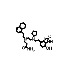 NC(=O)CCN(CCc1cccc2c1CCCC2)CCN(CCc1ccc(O)c2[nH]c(=O)sc12)C1CCCC1